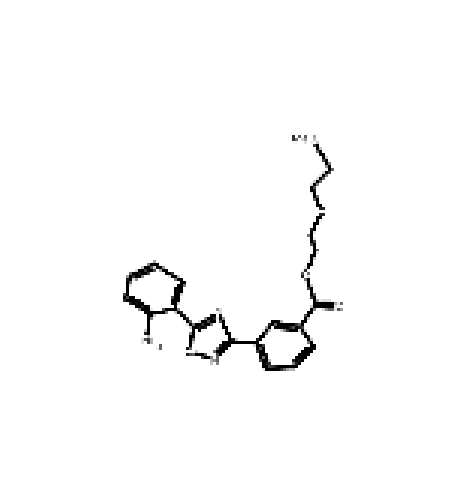 COCCOCCOC(=O)c1cccc(-c2noc(-c3ccccc3N)n2)c1